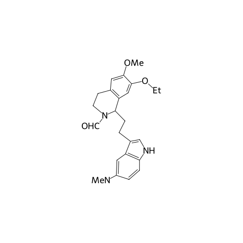 CCOc1cc2c(cc1OC)CCN(C=O)C2CCc1c[nH]c2ccc(NC)cc12